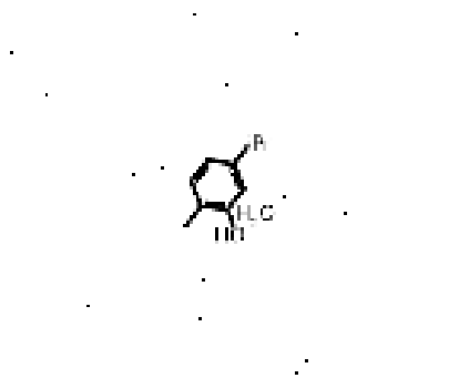 Cc1ccc(C(C)C)cc1O.O